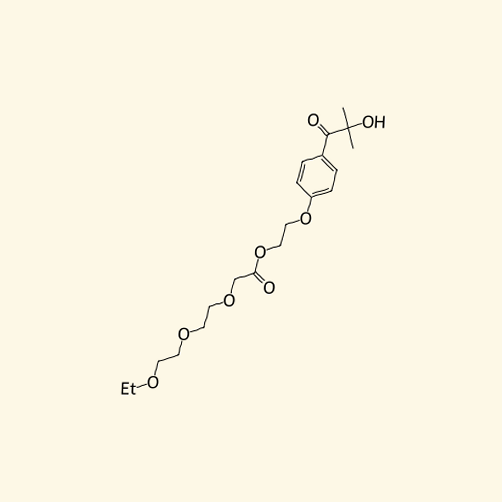 CCOCCOCCOCC(=O)OCCOc1ccc(C(=O)C(C)(C)O)cc1